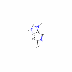 CC(C)c1cc2ncn(C)c2cn1